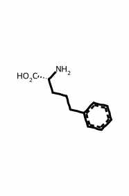 N[C@H](CCCc1ccccc1)C(=O)O